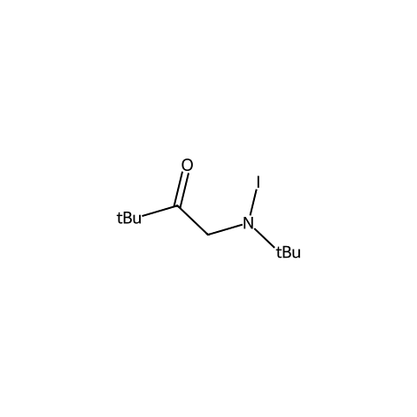 CC(C)(C)C(=O)CN(I)C(C)(C)C